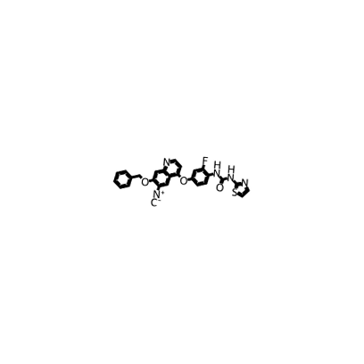 [C-]#[N+]c1cc2c(Oc3ccc(NC(=O)Nc4nccs4)c(F)c3)ccnc2cc1OCc1ccccc1